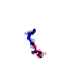 Cc1ncsc1-c1ccc(CNC(=O)[C@@H]2C[C@@H](O)CN2C(=O)[C@@H](NC(=O)C2(F)CC2)C(C)(C)C)c(OCCNC(=O)CO[C@@H]2C[C@@H]3CN(CCCNc4cc(N5CCC6(CC5)CN(c5cc(F)c(CN7CCC(C)(C)CC7)cc5F)CC(=O)N6)ncn4)C[C@@H]3C2)c1